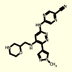 Cn1cc(-c2nnc(Nc3cnc(C#N)cn3)cc2NCC2CNCCO2)cn1